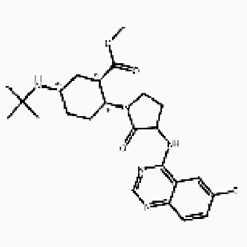 COC(=O)[C@@H]1C[C@H](NC(C)(C)C)CC[C@@H]1N1CCC(Nc2ncnc3ccc(Cl)cc23)C1=O